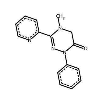 CN1CC(=O)N(c2ccccc2)N=C1c1ccccn1